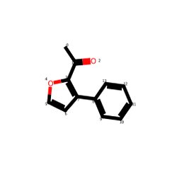 CC(=O)c1occc1-c1ccccc1